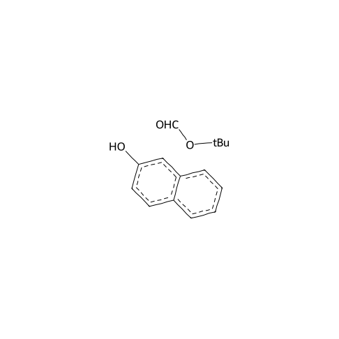 CC(C)(C)OC=O.Oc1ccc2ccccc2c1